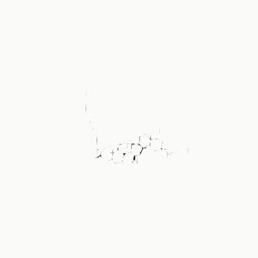 CCCOCCOCCOCCOC(=O)OC1CCC2(C)C(CCC3(C)C2C(=O)C=C2C4CC(C)(C(=O)O)CCC4(C)CCC23C)C1(C)C(=O)O